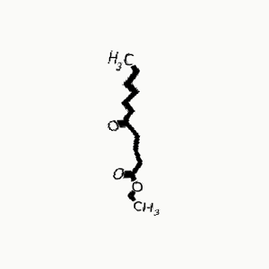 CCCCCCC(=O)CCCC(=O)OCC